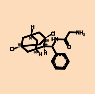 NCC(=O)NC(c1ccccc1)[C@H]1[C@H]2C[C@@H]3C[C@](Cl)(C2)C[C@@]1(Cl)C3